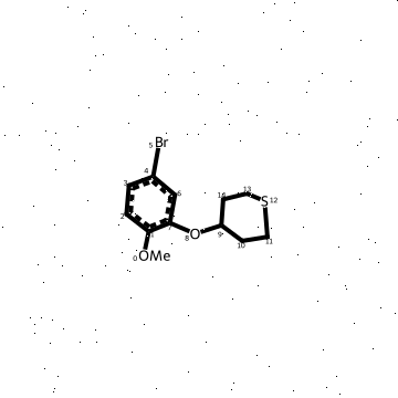 COc1ccc(Br)cc1OC1CCSCC1